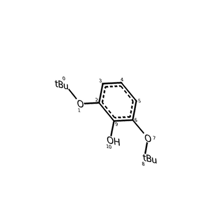 CC(C)(C)Oc1cccc(OC(C)(C)C)c1O